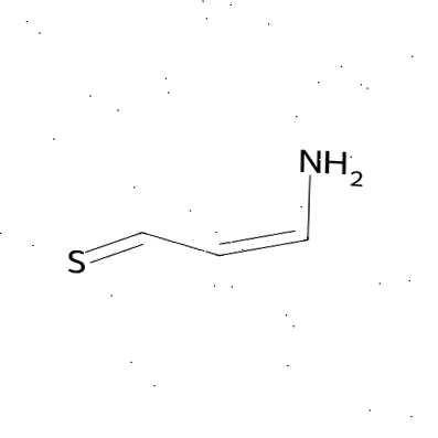 N/C=C\C=S